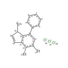 CCc1cc(-c2ccccc2)c2c(c1CC)C=C[CH]2[Ti+3].[Cl-].[Cl-].[Cl-]